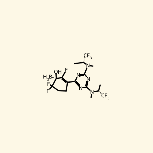 B[C@]1(O)C(F)=C(c2nc(N(C)[C@H](C)C(F)(F)F)nc(N(C)[C@H](C)C(F)(F)F)n2)CCC1(F)F